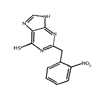 O=[N+]([O-])c1ccccc1Cc1nc(S)c2nc[nH]c2n1